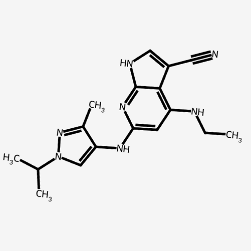 CCNc1cc(Nc2cn(C(C)C)nc2C)nc2[nH]cc(C#N)c12